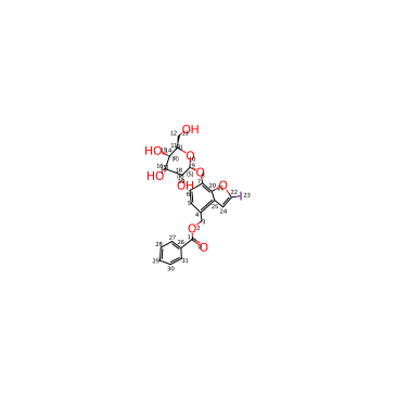 O=C(OCc1ccc(O[C@@H]2O[C@H](CO)[C@H](O)[C@H](O)[C@H]2O)c2oc(I)cc12)c1ccccc1